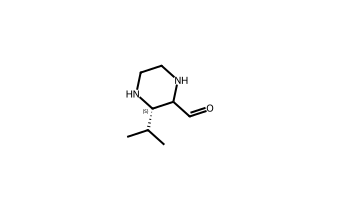 CC(C)[C@@H]1NCCNC1C=O